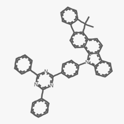 CC1(C)c2ccccc2-c2ccc3c(ccc4c5ccccc5n(-c5ccc(-c6nc(-c7ccccc7)nc(-c7ccccc7)n6)cc5)c34)c21